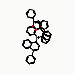 c1ccc(-c2ccccc2N(c2ccc(-c3ccccc3)c3ccccc23)c2cccc3c2c2c(-c4ccccc4)cccc2n3-c2ccccc2)cc1